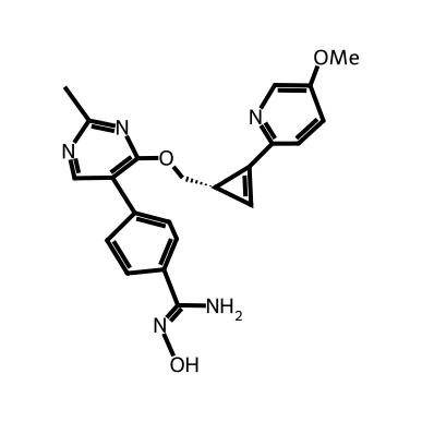 COc1ccc(C2=C[C@@H]2COc2nc(C)ncc2-c2ccc(/C(N)=N/O)cc2)nc1